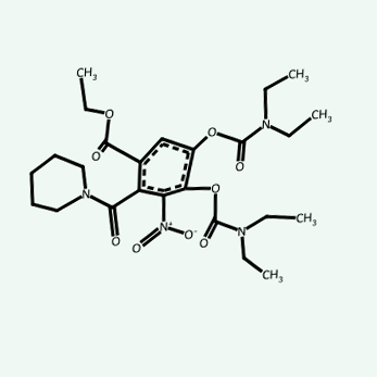 CCOC(=O)c1cc(OC(=O)N(CC)CC)c(OC(=O)N(CC)CC)c([N+](=O)[O-])c1C(=O)N1CCCCC1